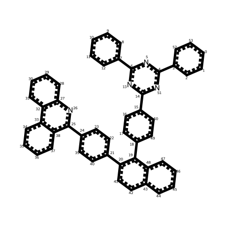 c1ccc(-c2nc(-c3ccccc3)nc(-c3ccc(-c4c(-c5ccc(-c6nc7ccccc7c7ccccc67)cc5)ccc5ccccc45)cc3)n2)cc1